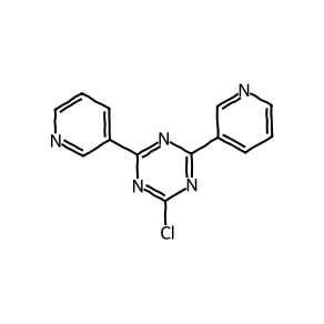 Clc1nc(-c2cccnc2)nc(-c2cccnc2)n1